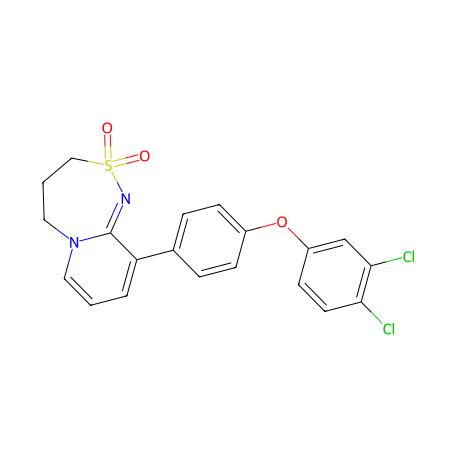 O=S1(=O)CCCN2C=CC=C(c3ccc(Oc4ccc(Cl)c(Cl)c4)cc3)C2=N1